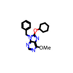 COc1ncnc2c1nc(OC1CCCCC1)n2Cc1ccccc1